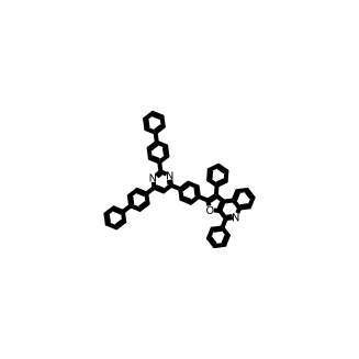 c1ccc(-c2ccc(-c3cc(-c4ccc(-c5oc6c(-c7ccccc7)nc7ccccc7c6c5-c5ccccc5)cc4)nc(-c4ccc(-c5ccccc5)cc4)n3)cc2)cc1